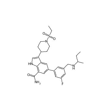 CCC(C)NCc1cc(F)cc(-c2cc(C(N)=O)c3[nH]cc(C4CCN(S(=O)(=O)CC)CC4)c3c2)c1